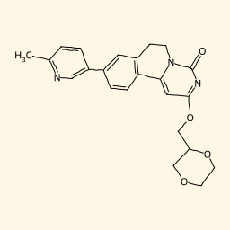 Cc1ccc(-c2ccc3c(c2)CCn2c-3cc(OCC3COCCO3)nc2=O)cn1